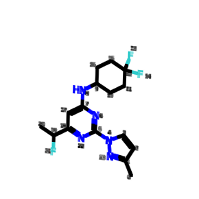 Cc1ccn(-c2nc(NC3CCC(F)(F)CC3)cc(C(C)F)n2)n1